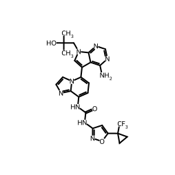 CC(C)(O)Cn1cc(-c2ccc(NC(=O)Nc3cc(C4(C(F)(F)F)CC4)on3)c3nccn23)c2c(N)ncnc21